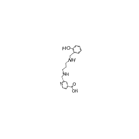 O=C(O)c1ccnc(CNCCCNCc2ccccc2O)c1